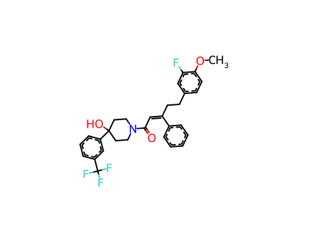 COc1ccc(CC/C(=C/C(=O)N2CCC(O)(c3cccc(C(F)(F)F)c3)CC2)c2ccccc2)cc1F